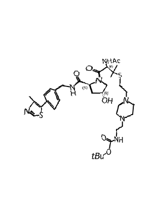 CC(=O)N[C@H](C(=O)N1C[C@H](O)C[C@H]1C(=O)NCc1ccc(-c2scnc2C)cc1)C(C)(C)SCCN1CCN(CCNC(=O)OC(C)(C)C)CC1